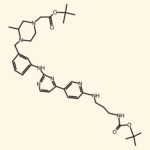 CC1CN(CC(=O)OC(C)(C)C)CCN1Cc1cccc(Nc2nccc(-c3ccc(NCCCNC(=O)OC(C)(C)C)nc3)n2)c1